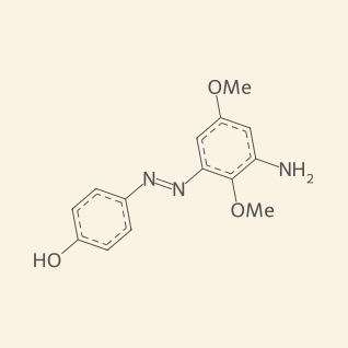 COc1cc(N)c(OC)c(N=Nc2ccc(O)cc2)c1